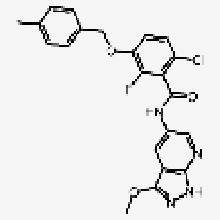 COc1n[nH]c2ncc(NC(=O)c3c(Cl)ccc(OCc4ccc(C)cc4)c3F)cc12